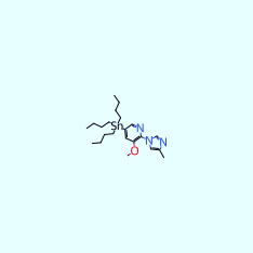 CCC[CH2][Sn]([CH2]CCC)([CH2]CCC)[c]1cnc(-n2cnc(C)c2)c(OC)c1